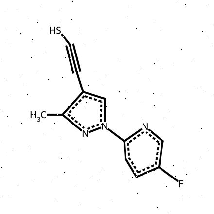 Cc1nn(-c2ccc(F)cn2)cc1C#CS